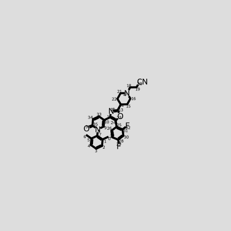 Cc1cccc(C)c1-n1cc(-c2nc(C3CCN(CCC#N)CC3)oc2-c2ccc(F)cc2F)ccc1=O